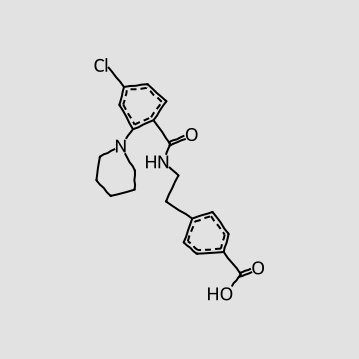 O=C(O)c1ccc(CCNC(=O)c2ccc(Cl)cc2N2CCCCC2)cc1